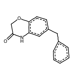 O=C1COc2ccc(Cc3ccccc3)cc2N1